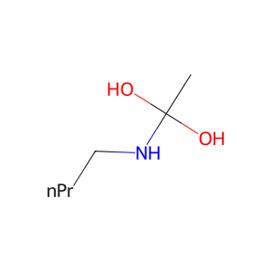 CCCCNC(C)(O)O